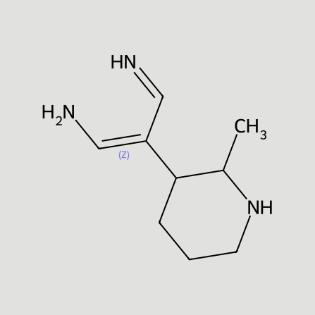 CC1NCCCC1/C(C=N)=C/N